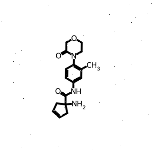 Cc1cc(NC(=O)C2(N)CC=CC2)ccc1N1CCOCC1=O